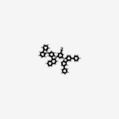 N#Cc1cc(-n2c3ccc(-c4ccccc4)cc3c3cc(-c4ccccc4)ccc32)cc(-n2c3ccc(-n4c5ccccc5c5ccccc54)cc3c3c4ccccc4ccc32)c1